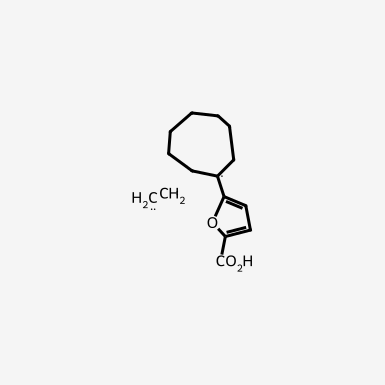 O=C(O)c1ccc([C]2CCCCCCC2)o1.[CH2].[CH2]